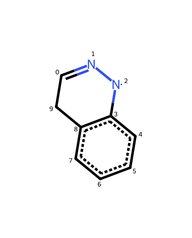 C1=N[N]c2ccccc2C1